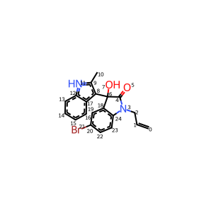 C=CCN1C(=O)C(O)(c2c(C)[nH]c3ccccc23)c2cc(Br)ccc21